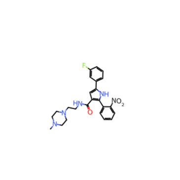 CN1CCN(CCNC(=O)c2cc(-c3cccc(F)c3)[nH]c2-c2ccccc2[N+](=O)[O-])CC1